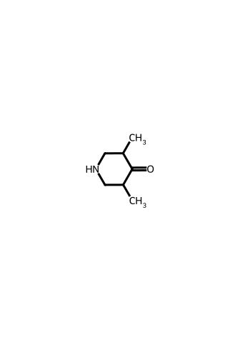 CC1CNCC(C)C1=O